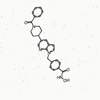 O=C(NO)c1ccc(Cn2ccc3cc(C4CCN(C(=O)c5ccccc5)CC4)cnc32)cc1